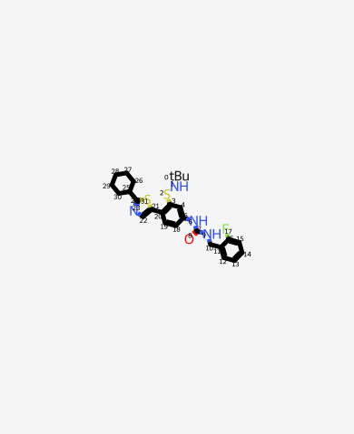 CC(C)(C)NSc1cc(NC(=O)NCc2ccccc2F)ccc1-c1cnc(C2CCCCC2)s1